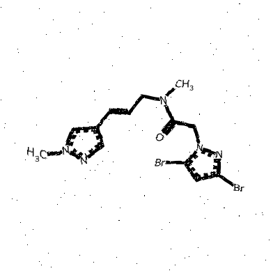 CN(C/C=C/c1cnn(C)c1)C(=O)Cn1nc(Br)cc1Br